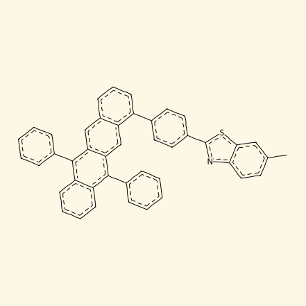 Cc1ccc2nc(-c3ccc(-c4cccc5cc6c(-c7ccccc7)c7ccccc7c(-c7ccccc7)c6cc45)cc3)sc2c1